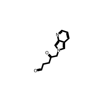 O=CCCC(=O)Cn1cc2cccnc2c1